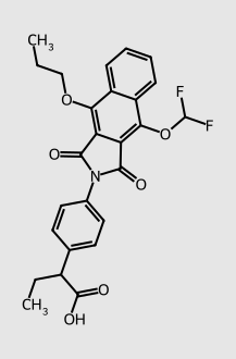 CCCOc1c2c(c(OC(F)F)c3ccccc13)C(=O)N(c1ccc(C(CC)C(=O)O)cc1)C2=O